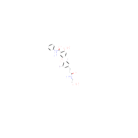 O=C(CCc1cc(I)c(Oc2ccc(O)c(C(=O)Nc3ccccc3)c2)c(I)c1)NCCO